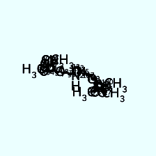 COc1cc(COCCCC2CCCN(CCCOCc3cc(OC)c(OC)c(OC)c3)CN2)cc(OC)c1OC